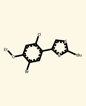 CCOc1cc(Cl)c(-c2csc(C(C)(C)C)n2)cc1Br